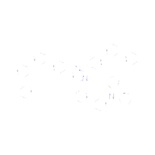 c1ccc(-c2cccc(-c3ccc(-c4nc(-c5ccc(-c6cccc(-c7cccc(-c8ccccc8)c7)c6)cc5)cc(-c5cccc(-c6cccc(-n7c8ccccc8c8ccccc87)c6)c5)n4)cc3)c2)cc1